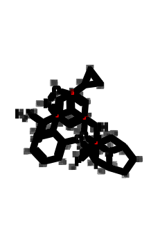 NC(=O)c1cccc(NC(=O)N2C3CCC2CC(OCc2c(-c4ccccc4OC(F)(F)F)noc2C2CC2)C3)c1